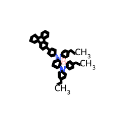 CCCc1ccc(N2c3ccc(CCC)cc3B3c4cc(CCC)ccc4N(c4ccc(-c5ccc6c7ccccc7c7ccccc7c6c5)cc4)c4cccc2c43)cc1